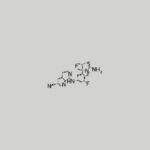 C[C@H]1CSC(N)=N[C@]1(CF)c1cc(Nc2nccc3cc(C#N)cnc23)cc(F)c1F